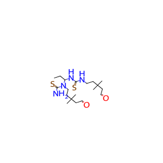 CCC(NC(=S)NCCC(C)(C)CC=O)N(CCC(C)(C)CC=O)C(N)=S